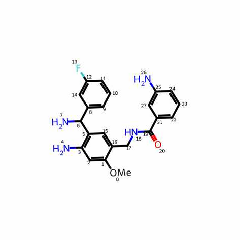 COc1cc(N)c(C(N)c2cccc(F)c2)cc1CNC(=O)c1cccc(N)c1